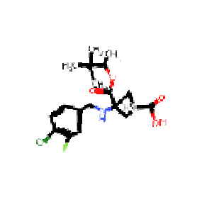 CC(OC(=O)C1(NCc2ccc(Cl)c(F)c2)C[SiH](C(=O)O)C1)C(C)(C)C